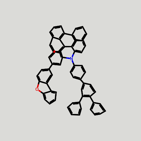 c1ccc(-c2ccc(-c3ccc(N(c4cccc(-c5ccc6oc7ccccc7c6c5)c4)c4ccccc4-c4cccc5cccc(-c6ccccc6)c45)cc3)cc2-c2ccccc2)cc1